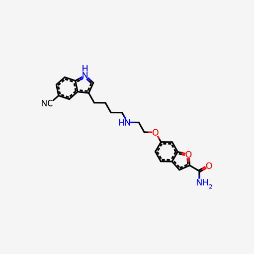 N#Cc1ccc2[nH]cc(CCCCNCCOc3ccc4cc(C(N)=O)oc4c3)c2c1